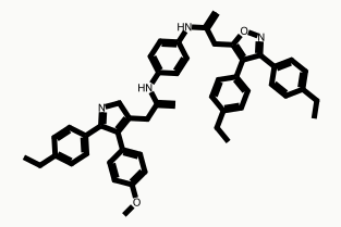 C=C(CC1=C(c2ccc(OC)cc2)C(c2ccc(CC)cc2)=NC1)Nc1ccc(NC(=C)Cc2onc(-c3ccc(CC)cc3)c2-c2ccc(CC)cc2)cc1